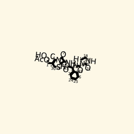 CC(=O)OCC1=C(C(=O)O)N2C(=O)C(NC(=O)C(NC(=O)N3CCNC3=O)c3ccccc3)[C@@H]2SC1